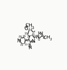 COc1ccc2c(-n3cnc(C)c3)nc(C#N)c(-c3ccncc3)c2c1